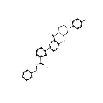 Nc1ncc(-c2cccc(C(=O)NCc3ccccc3)c2)nc1C(=O)N1CCN(c2ccc(F)cc2)CC1